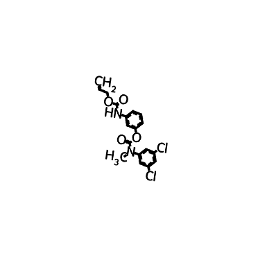 C=CCOC(=O)Nc1cccc(OC(=O)N(C)c2cc(Cl)cc(Cl)c2)c1